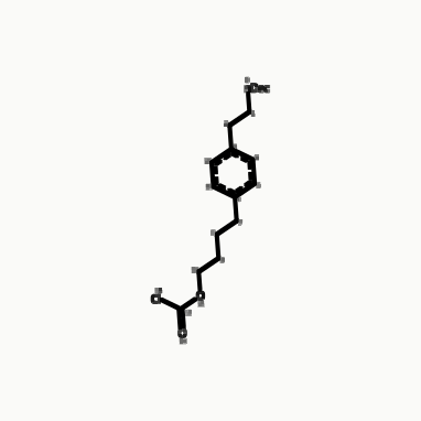 CCCCCCCCCCCCc1ccc(CCCCOC(=O)Cl)cc1